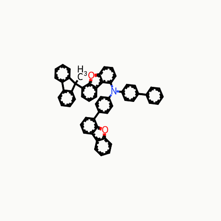 CC1(c2cccc3c2oc2cccc(N(c4ccc(-c5ccccc5)cc4)c4ccc(-c5cccc6c5oc5ccccc56)cc4)c23)c2ccccc2-c2ccccc21